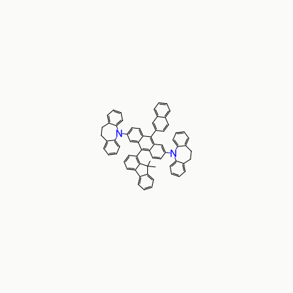 CC1(C)c2ccccc2-c2cccc(-c3c4ccc(N5c6ccccc6CCc6ccccc65)cc4c(-c4ccc5ccccc5c4)c4ccc(N5c6ccccc6CCc6ccccc65)cc34)c21